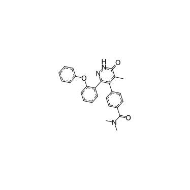 Cc1c(-c2ccc(C(=O)N(C)C)cc2)c(-c2ccccc2Oc2ccccc2)n[nH]c1=O